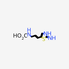 N=c1[nH]cc(/C=C/CNC(=O)O)s1